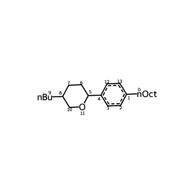 CCCCCCCCc1ccc(C2CCC(CCCC)CO2)cc1